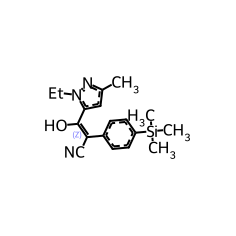 CCn1nc(C)cc1/C(O)=C(/C#N)c1ccc([Si](C)(C)C)cc1